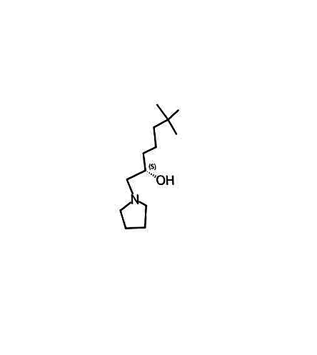 CC(C)(C)CCC[C@H](O)CN1CCCC1